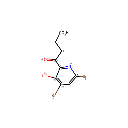 O=C(O)CCC(=O)c1nc(Br)cc(Br)c1O